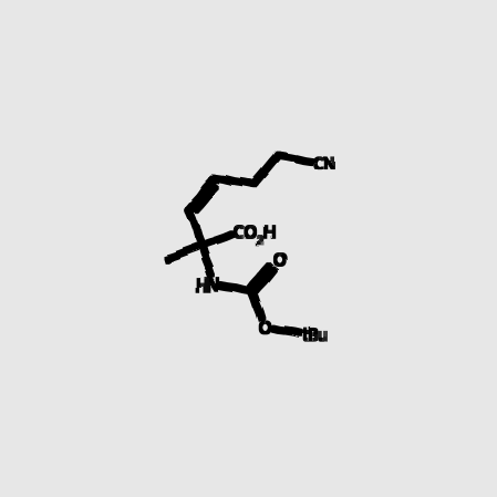 CC(C)(C)OC(=O)NC(C)(/C=C\CCC#N)C(=O)O